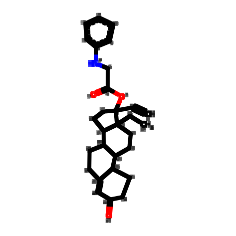 C#CC1(OC(=O)CNc2ccccc2)CCC2C3CCC4=CC(=O)CCC4C3CCC21CC